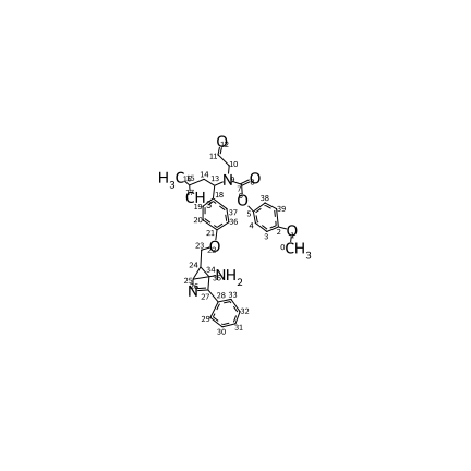 COc1ccc(OC(=O)N(CC=O)C(CC(C)C)c2ccc(OCC3C4N=C(c5ccccc5)C34N)cc2)cc1